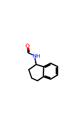 O=CNC1CCCc2ccccc21